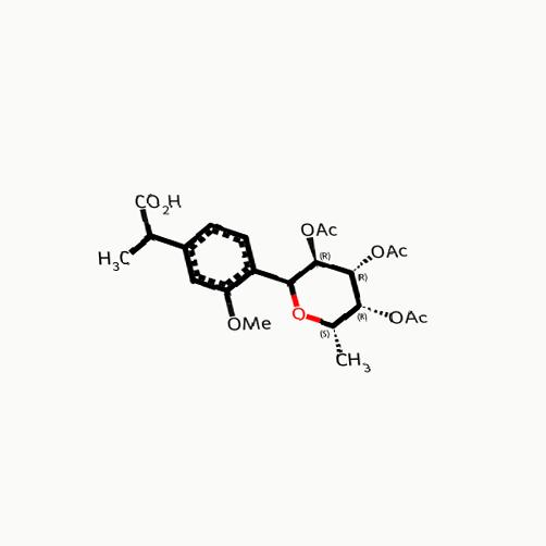 COc1cc(C(C)C(=O)O)ccc1C1O[C@@H](C)[C@@H](OC(C)=O)[C@@H](OC(C)=O)[C@@H]1OC(C)=O